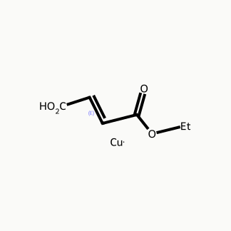 CCOC(=O)/C=C/C(=O)O.[Cu]